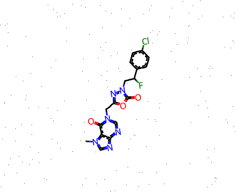 Cn1cnc2ncn(Cc3nn(CC(F)c4ccc(Cl)cc4)c(=O)o3)c(=O)c21